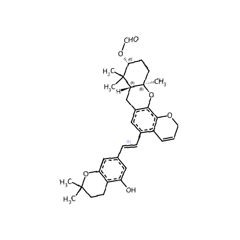 CC1(C)CCc2c(O)cc(/C=C/c3cc4c(c5c3C=CCO5)O[C@]3(C)CC[C@@H](OC=O)C(C)(C)[C@H]3C4)cc2O1